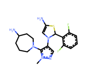 Cn1ncc(N2C=C(N)SC2c2c(F)cccc2F)c1N1CCCC(N)CC1